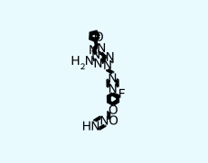 Nc1nc2c(ncn2CCN2CCN(c3ccc(OCC(=O)N4CCNCC4)cc3F)CC2)c2nc(-c3ccco3)nn12